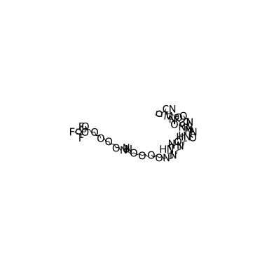 COc1cnc(-n2cnc(C(=O)NCCCN(CCCN3CCN(CCOCCOCCOCCOCc4cn(CCOCCOCCOCCOCCC(=O)Oc5c(F)cc(F)cc5F)nn4)CC3)C(=O)c3c[nH]cn3)n2)c2[nH]cc(C(=O)C(=O)N3CCC(=C(C#N)c4ccccc4)CC3)c12